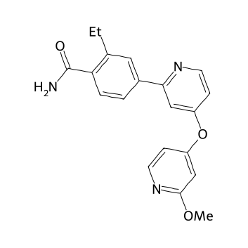 CCc1cc(-c2cc(Oc3ccnc(OC)c3)ccn2)ccc1C(N)=O